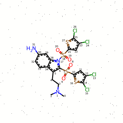 CN(C)CCc1c(S(=O)(=O)c2cc(Cl)c(Cl)s2)n(S(=O)(=O)c2cc(Cl)c(Cl)s2)c2cc(N)ccc12